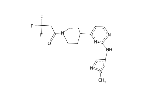 Cn1cc(Nc2nccc(C3CCN(C(=O)CC(F)(F)F)CC3)n2)cn1